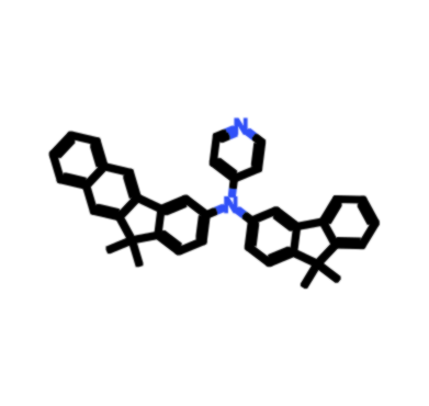 CC1(C)c2ccccc2-c2cc(N(c3ccncc3)c3ccc4c(c3)-c3cc5ccccc5cc3C4(C)C)ccc21